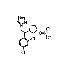 Clc1ccc(C(Cn2cncn2)C2CCCC2)c(Cl)c1.O=[N+]([O-])O